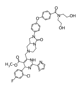 COC(=O)C1=C(CN2CCN3C(=O)N(c4ccc(Oc5ccc(C(=O)N(CCO)CCO)cc5)cc4)CC3C2)NC(c2nccs2)=NC1c1ccc(F)cc1Cl